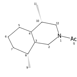 CC(=O)N1CC2C(CCC[C@H]2C)[C@H](C)C1